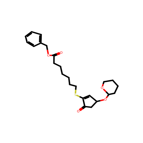 O=C(CCCCCCSC1=CC(OC2CCCCO2)CC1=O)OCc1ccccc1